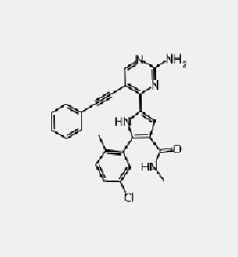 CNC(=O)c1cc(-c2nc(N)ncc2C#Cc2ccccc2)[nH]c1-c1cc(Cl)ccc1C